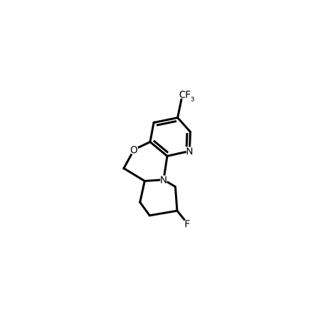 FC1CCC2COc3cc(C(F)(F)F)cnc3N2C1